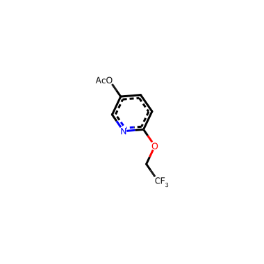 CC(=O)Oc1ccc(OCC(F)(F)F)nc1